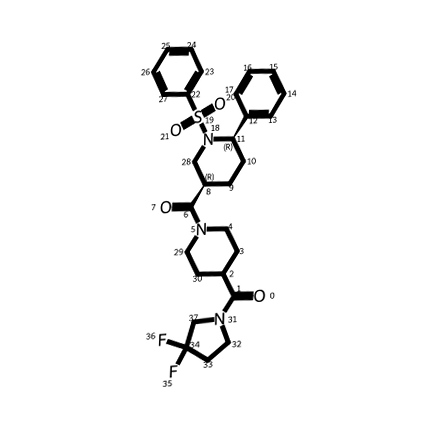 O=C(C1CCN(C(=O)[C@@H]2CC[C@H](c3ccccc3)N(S(=O)(=O)c3ccccc3)C2)CC1)N1CCC(F)(F)C1